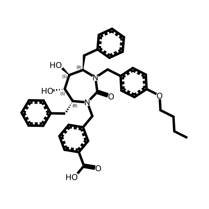 CCCCOc1ccc(CN2C(=O)N(Cc3cccc(C(=O)O)c3)[C@H](Cc3ccccc3)[C@H](O)[C@@H](O)[C@H]2Cc2ccccc2)cc1